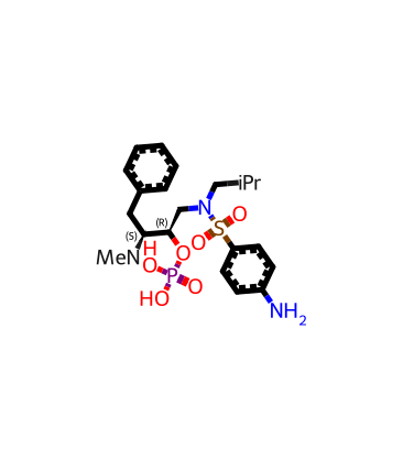 CN[C@@H](Cc1ccccc1)[C@@H](CN(CC(C)C)S(=O)(=O)c1ccc(N)cc1)OP(=O)(O)O